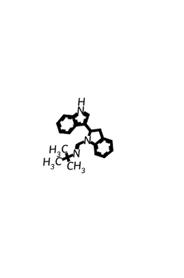 CC(C)(C)N=CN1c2ccccc2CC1c1c[nH]c2ccccc12